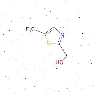 OCc1ncc(C(F)(F)F)s1